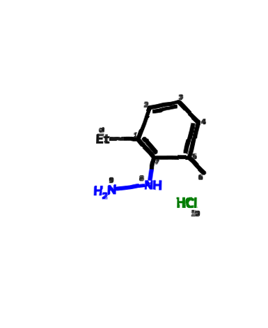 CCc1cccc(C)c1NN.Cl